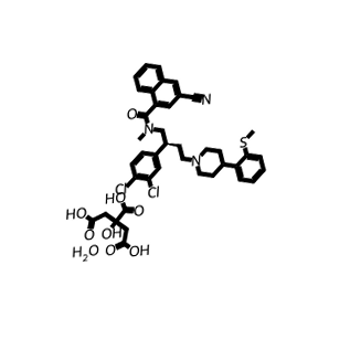 CSc1ccccc1C1CCN(CC[C@H](CN(C)C(=O)c2cc(C#N)cc3ccccc23)c2ccc(Cl)c(Cl)c2)CC1.O.O=C(O)CC(O)(CC(=O)O)C(=O)O